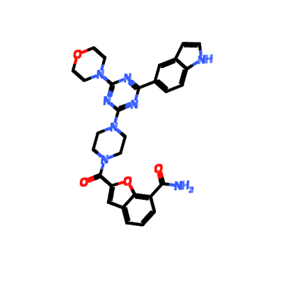 NC(=O)c1cccc2cc(C(=O)N3CCN(c4nc(-c5ccc6[nH]ccc6c5)nc(N5CCOCC5)n4)CC3)oc12